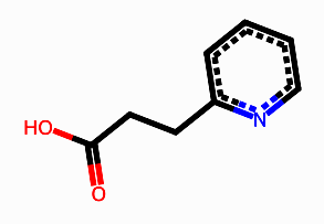 O=C(O)CCc1ccccn1